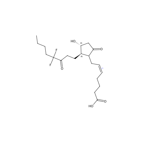 CCCCC(F)(F)C(=O)CC[C@@H]1C(C/C=C\CCCC(=O)O)C(=O)C[C@H]1O